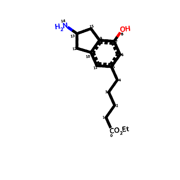 CCOC(=O)CCCCc1cc(O)c2c(c1)CC(N)C2